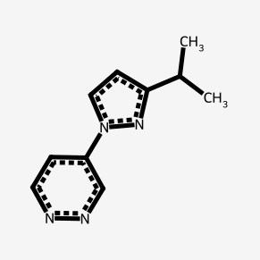 CC(C)c1ccn(-c2ccnnc2)n1